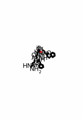 CC(=O)N[C@@H](Cc1ccccc1)C(=O)NC[C@@H](NC(=O)[C@H](C)NC(=O)[C@H](CCCNC(=N)N)NC(=O)Cc1ccccc1)C(C)C